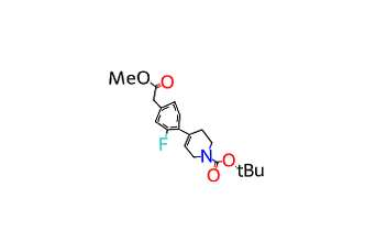 COC(=O)Cc1ccc(C2=CCN(C(=O)OC(C)(C)C)CC2)c(F)c1